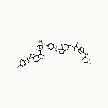 Cc1ccc(S(=O)(=O)n2ccc3c2ncc2nnc(C45CCC(N)(CC4)C(Cc4ccc(S(=O)(=O)n6ccc7nc(NNC(=O)C89CCC(NC(=O)OC(C)(C)C)(CC8)CC9)cnc76)cc4)C5)n23)cc1